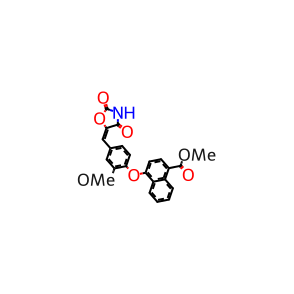 COC(=O)c1ccc(Oc2ccc(C=C3OC(=O)NC3=O)cc2OC)c2ccccc12